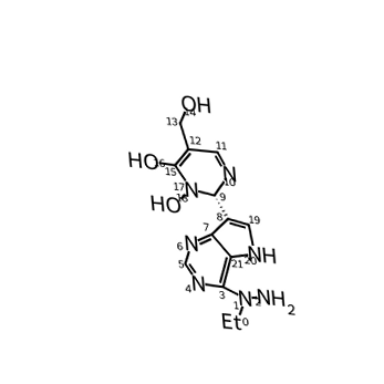 CCN(N)c1ncnc2c([C@H]3N=CC(CO)=C(O)N3O)c[nH]c12